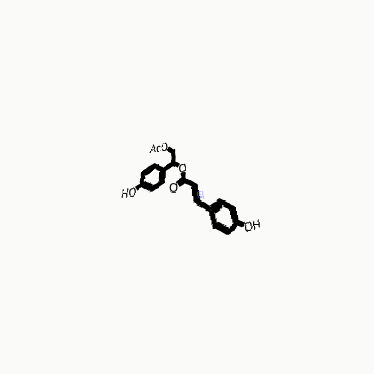 CC(=O)OCC(OC(=O)/C=C/c1ccc(O)cc1)c1ccc(O)cc1